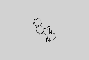 c1ccc2c3c(ccc2c1)C1=NCCCN1S3